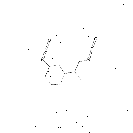 CC(CN=C=O)C1CCCC(N=C=O)C1